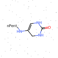 CCCCCNC1=CNC(=O)NC1